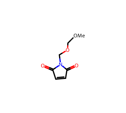 COCOCN1C(=O)C=CC1=O